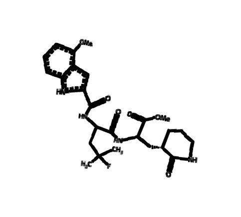 COC(=O)C(C[C@@H]1CCCNC1=O)NC(=O)C(CC(C)(C)F)NC(=O)c1cc2c(OC)cccc2[nH]1